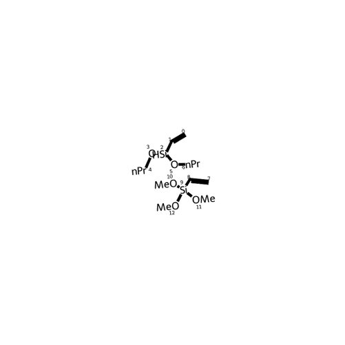 C=C[SiH](OCCC)OCCC.C=C[Si](OC)(OC)OC